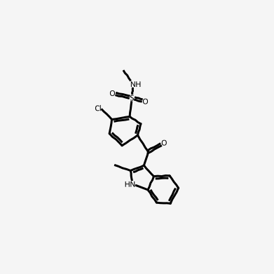 CNS(=O)(=O)c1cc(C(=O)c2c(C)[nH]c3ccccc23)ccc1Cl